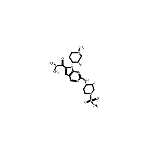 CN1CC[C@@H](n2c(C(=O)N(C)C)cc3cnc(N[C@@H]4CCN(S(C)(=O)=O)C[C@H]4F)nc32)[C@@H](F)C1